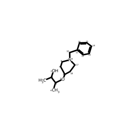 CC(O)C(C)OC1CCN(Cc2ccccc2)CC1